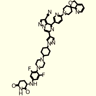 N#Cc1cnn2cc(-c3cnn(C4CCC(N5CCN(c6c(F)cc(N[C@@H]7CCC(=O)NC7=O)cc6F)CC5)CC4)c3)nc(-c3ccc(N4CCC5(CC4)OCc4cccnc45)nc3)c12